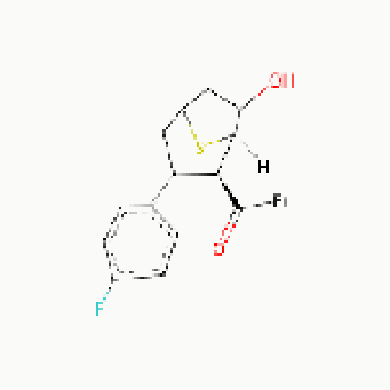 CCC(=O)[C@H]1[C@H](c2ccc(F)cc2)CC2CC(O)[C@@H]1S2